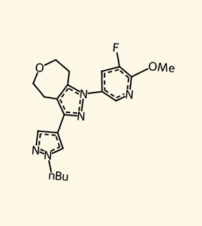 CCCCn1cc(-c2nn(-c3cnc(OC)c(F)c3)c3c2CCOCC3)cn1